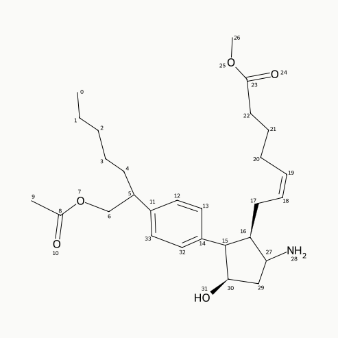 CCCCCC(COC(C)=O)c1ccc(C2[C@@H](C/C=C\CCCC(=O)OC)C(N)C[C@H]2O)cc1